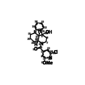 COc1cc(C(=O)N2CCC(O)(c3ccccc3)[C@H]3CCCC[C@H]32)cc(Cl)n1